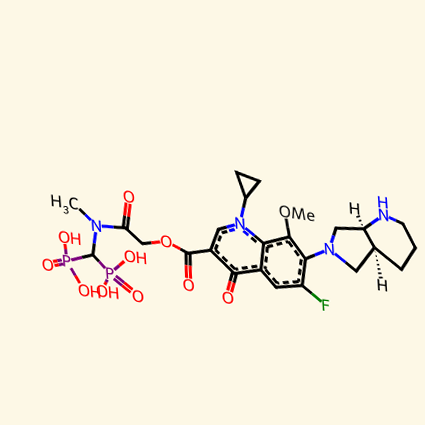 COc1c(N2C[C@@H]3CCCN[C@@H]3C2)c(F)cc2c(=O)c(C(=O)OCC(=O)N(C)C(P(=O)(O)O)P(=O)(O)O)cn(C3CC3)c12